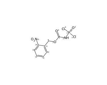 O=C(NP(=O)(Cl)Cl)OCc1ccccc1[N+](=O)[O-]